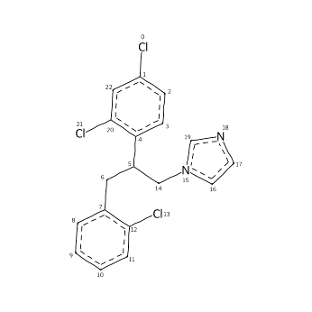 Clc1ccc(C(Cc2ccccc2Cl)Cn2ccnc2)c(Cl)c1